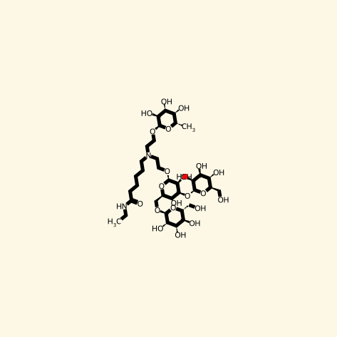 CCNC(=O)CCCCCN(CCO[C@@H]1O[C@@H](C)[C@@H](O)[C@@H](O)[C@@H]1O)CCO[C@H]1O[C@H](CO[C@H]2O[C@H](CO)[C@@H](O)[C@H](O)[C@@H]2O)[C@@H](O)[C@H](O[C@H]2O[C@H](CO)[C@@H](O)[C@H](O)[C@@H]2O)[C@@H]1O